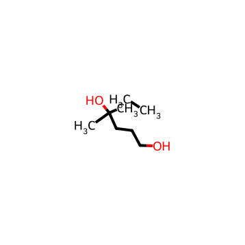 CC.CC(C)(O)CCCO